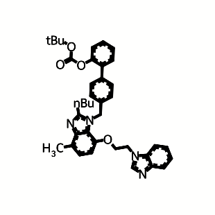 CCCCc1nc2c(C)ccc(OCCn3cnc4ccccc43)c2n1Cc1ccc(-c2ccccc2OC(=O)OC(C)(C)C)cc1